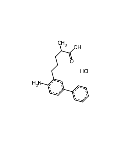 CC(CCCc1cc(-c2ccccc2)ccc1N)C(=O)O.Cl